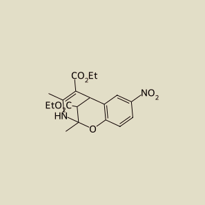 CCOC(=O)C1=C(C)NC2(C)Oc3ccc([N+](=O)[O-])cc3C1C2C(=O)OCC